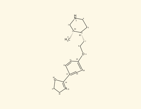 C[C@@H]1CNCC[C@@H]1CCOc1ccc(C2=NCCO2)cc1